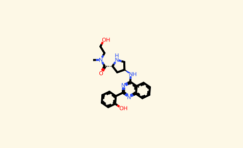 CN(CCO)C(=O)[C@H]1C[C@H](Nc2nc(-c3ccccc3O)nc3ccccc23)CN1